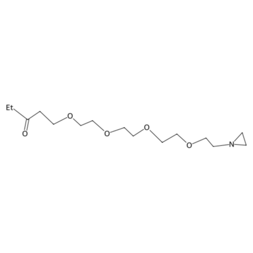 CCC(=O)CCOCCOCCOCCOCCN1CC1